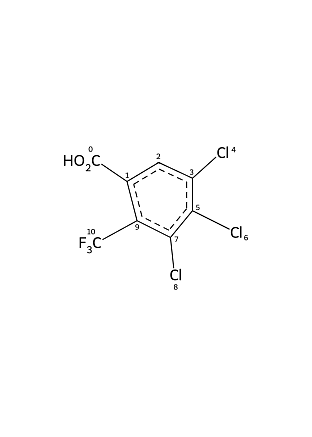 O=C(O)c1cc(Cl)c(Cl)c(Cl)c1C(F)(F)F